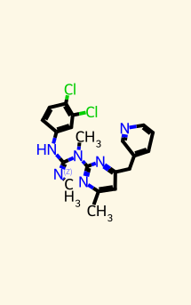 C/N=C(/Nc1ccc(Cl)c(Cl)c1)N(C)c1nc(C)cc(Cc2cccnc2)n1